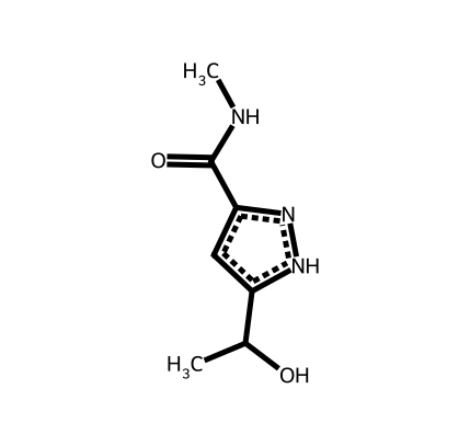 CNC(=O)c1cc(C(C)O)[nH]n1